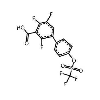 O=C(O)c1c(F)c(F)cc(-c2ccc(OS(=O)(=O)C(F)(F)F)cc2)c1F